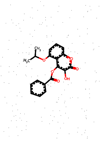 CC(C)Oc1cccc2oc(=O)c(O)c(OC(=O)c3ccccc3)c12